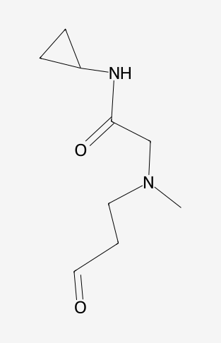 CN(CCC=O)CC(=O)NC1CC1